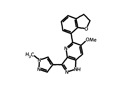 COc1cc2[nH]nc(-c3cnn(C)c3)c2nc1-c1cccc2c1OCC2